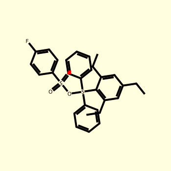 CCc1cc(CC)c(S(OS(=O)(=O)c2ccc(F)cc2)(c2ccccc2)c2ccccc2)c(CC)c1